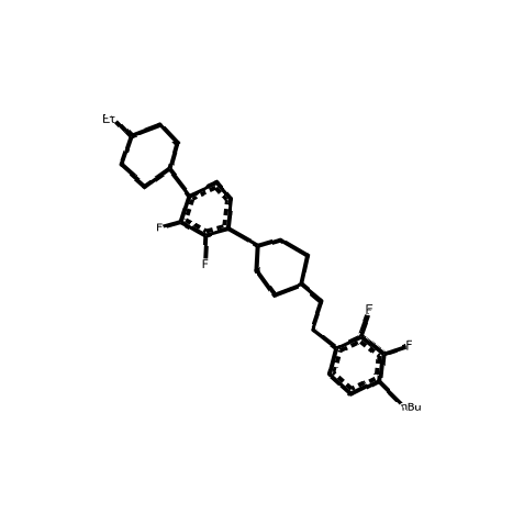 CCCCc1ccc(CCC2CCC(c3ccc(C4CCC(CC)CC4)c(F)c3F)CC2)c(F)c1F